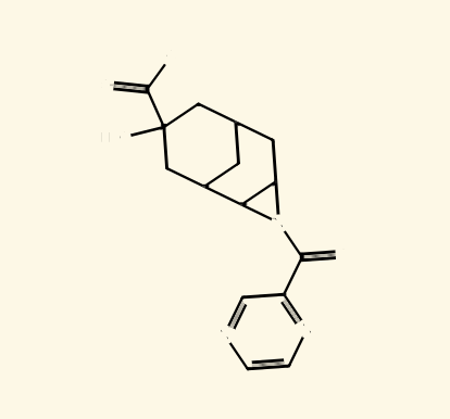 CC1(C(=O)O)CC2CC(C1)C1C(C2)N1C(=O)c1cnccn1